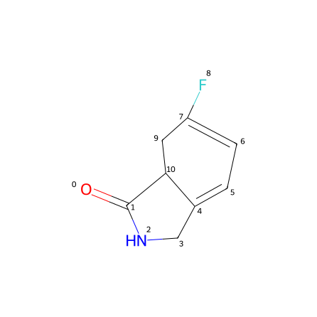 O=C1NCC2=CC=C(F)CC12